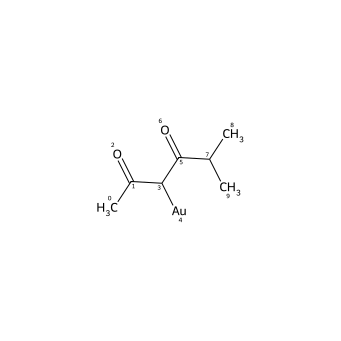 CC(=O)[CH]([Au])C(=O)C(C)C